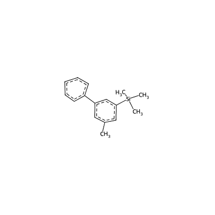 Cc1cc(-c2ccccc2)cc([Si](C)(C)C)c1